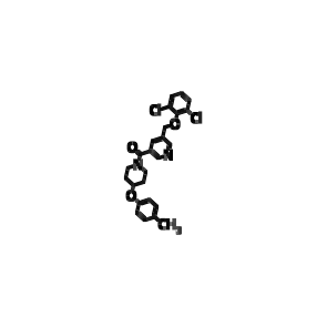 Cc1ccc(OC2CCN(C(=O)c3cncc(COc4c(Cl)cccc4Cl)c3)CC2)cc1